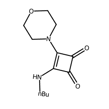 CCCCNc1c(N2CCOCC2)c(=O)c1=O